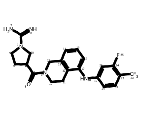 N=C(N)N1CCC(C(=O)N2CCc3c(cccc3Nc3ccc(C(F)(F)F)c(F)c3)C2)C1